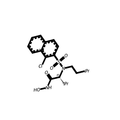 CC(C)CCN([C@@H](C(=O)NO)C(C)C)S(=O)(=O)c1ccc2ccccc2c1Cl